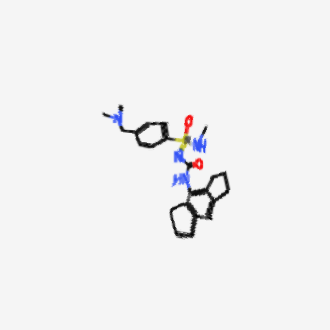 CN[S@](=O)(=NC(=O)Nc1c2c(cc3c1CCC3)CCC2)c1ccc(CN(C)C)cc1